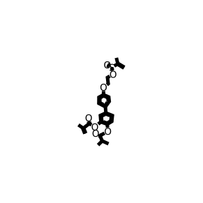 C=C(C)C(=O)Oc1cc(-c2ccc(OCCOS(=O)C(=C)C)cc2)ccc1OC(=O)C(C)C